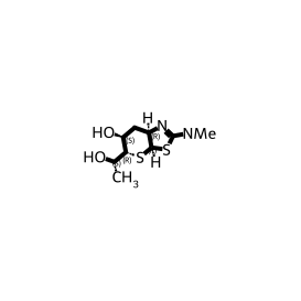 CNC1=N[C@@H]2C[C@H](O)[C@@H]([C@H](C)O)S[C@@H]2S1